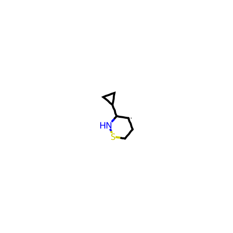 [CH]1CCSNC1C1CC1